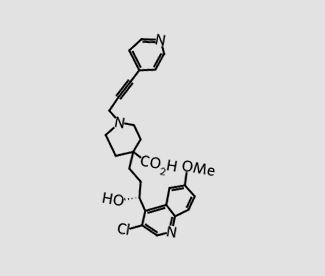 COc1ccc2ncc(Cl)c([C@H](O)CCC3(C(=O)O)CCN(CC#Cc4ccncc4)CC3)c2c1